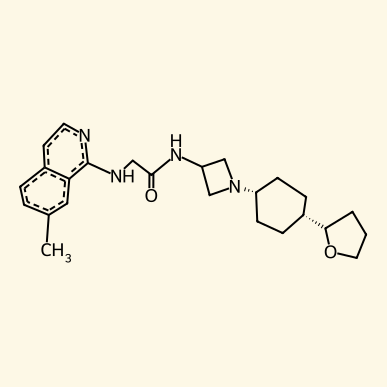 Cc1ccc2ccnc(NCC(=O)NC3CN([C@H]4CC[C@@H](C5CCCO5)CC4)C3)c2c1